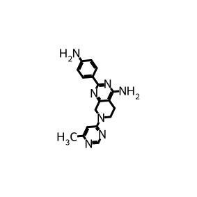 Cc1cc(N2CCc3c(N)nc(-c4ccc(N)cc4)nc3C2)ncn1